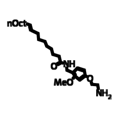 CCCCCCCCC=CCCCCCCCC(=O)NCc1ccc(OCCN)cc1OC